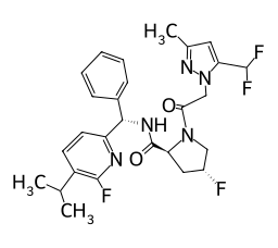 Cc1cc(C(F)F)n(CC(=O)N2C[C@H](F)C[C@H]2C(=O)N[C@@H](c2ccccc2)c2ccc(C(C)C)c(F)n2)n1